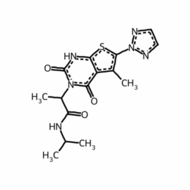 Cc1c(-n2nccn2)sc2[nH]c(=O)n(C(C)C(=O)NC(C)C)c(=O)c12